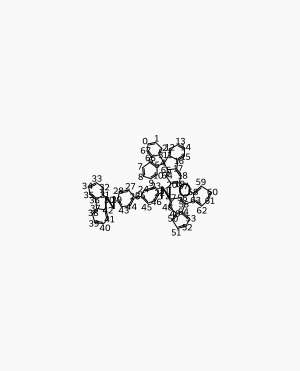 c1ccc(C2(c3ccccc3)c3ccccc3-c3ccc(N(c4ccc(-c5ccc(-n6c7ccccc7c7ccccc76)cc5)cc4)c4cc5ccccc5c5c4oc4ccccc45)cc32)cc1